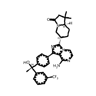 CC1(C)CC(=O)N2C[C@@H](c3nc(-c4ccc([C@@](C)(O)c5cccc(C(F)(F)F)c5)cc4)c4c(N)nccn34)CC[C@@H]21